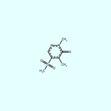 Cc1c(S(C)(=O)=O)cnn(C)c1=O